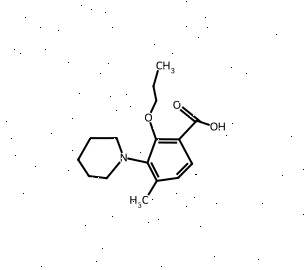 CCCOc1c(C(=O)O)ccc(C)c1N1CCCCC1